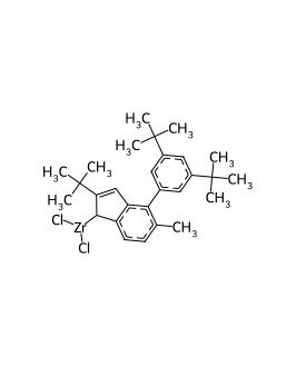 Cc1ccc2c(c1-c1cc(C(C)(C)C)cc(C(C)(C)C)c1)C=C(C(C)(C)C)[CH]2[Zr]([Cl])[Cl]